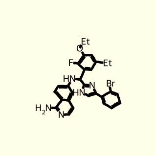 CCOc1cc(CC)cc(C(Nc2ccc3c(N)nccc3c2)c2nc(-c3ccccc3Br)c[nH]2)c1F